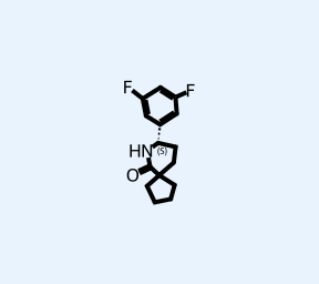 O=C1N[C@H](c2cc(F)cc(F)c2)CCC12CCCC2